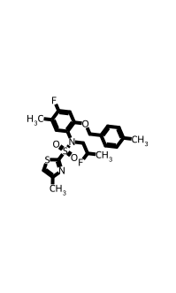 Cc1ccc(COc2cc(F)c(C)cc2N(CC(C)F)S(=O)(=O)c2nc(C)cs2)cc1